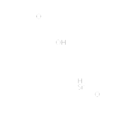 C=C(CCCC(CC)[SiH2]OCC)C(=O)O